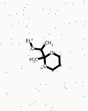 CCOC(C)C1(C)OCCCO1